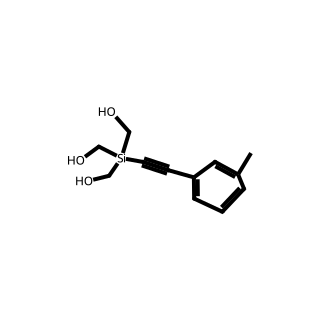 Cc1cccc(C#C[Si](CO)(CO)CO)c1